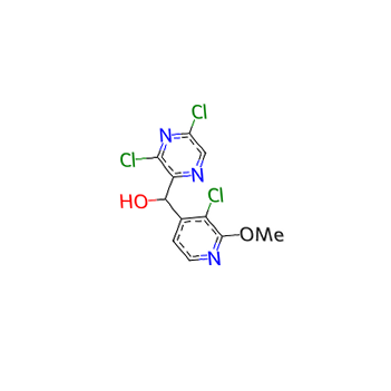 COc1nccc(C(O)c2ncc(Cl)nc2Cl)c1Cl